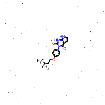 CC(C)CCOc1ccc(-n2c(=S)[nH]c3[nH]ccc3c2=O)cc1